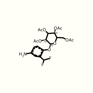 CC(=O)OCC1O[C@@H](Oc2ccc(N)cc2C(F)F)[C@@H](OC(C)=O)C(OC(C)=O)[C@H]1OC(C)=O